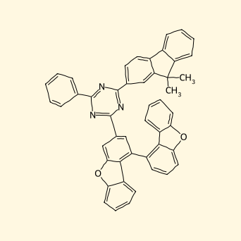 CC1(C)c2ccccc2-c2ccc(-c3nc(-c4ccccc4)nc(-c4cc(-c5cccc6oc7ccccc7c56)c5c(c4)oc4ccccc45)n3)cc21